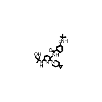 CC(C)(C)NSc1cccc(C(=O)Nc2ccc(NC(C)(C)CO)nc2N2CCC3(CC2)CC3)c1